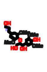 COc1cc(C(O)C(CO)Oc2c(OC)cc(/C=C/CO)cc2OC)cc(OC)c1O